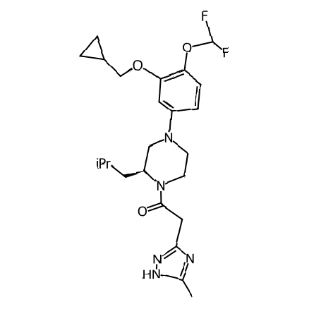 Cc1nc(CC(=O)N2CCN(c3ccc(OC(F)F)c(OCC4CC4)c3)C[C@@H]2CC(C)C)n[nH]1